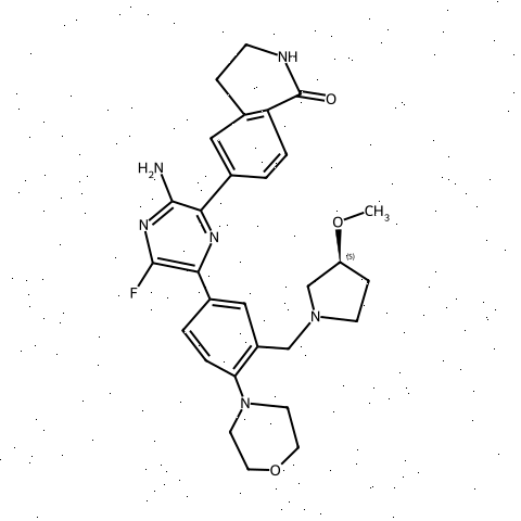 CO[C@H]1CCN(Cc2cc(-c3nc(-c4ccc5c(c4)CCNC5=O)c(N)nc3F)ccc2N2CCOCC2)C1